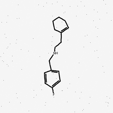 Fc1ccc(CNCCC2=CCCCC2)cc1